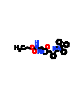 CCCCOC(=O)Nc1cc2n(n1)CC/C(=C\c1ccccc1-c1cn(C(c3ccccc3)(c3ccccc3)c3ccccc3)cn1)C2=O